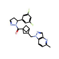 Cc1ccc2c(cnn2CC2CC3(C(=O)N4N=CCC4c4cc(F)cc(F)c4)CC2C3)n1